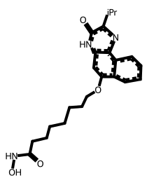 CC(C)c1nc2c(cc(OCCCCCCCC(=O)NO)c3ccccc32)[nH]c1=O